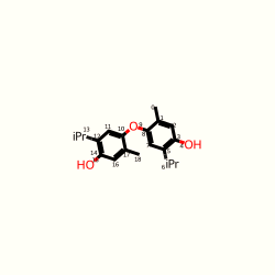 Cc1cc(O)c(C(C)C)cc1Oc1cc(C(C)C)c(O)cc1C